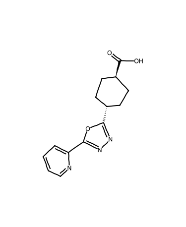 O=C(O)[C@H]1CC[C@H](c2nnc(-c3ccccn3)o2)CC1